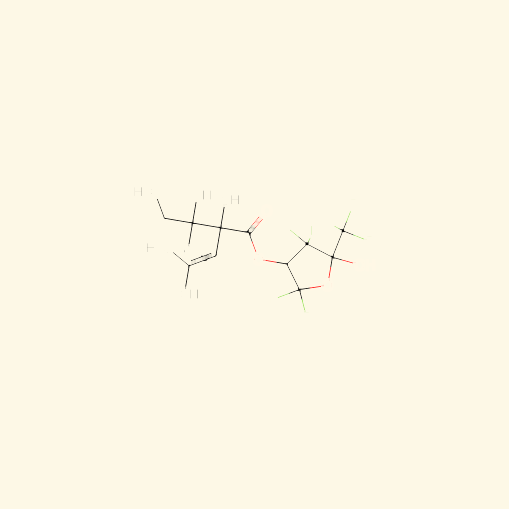 CCC(C)(C)C(C)(C=C(C)C)C(=O)OC1C(F)(F)OC(O)(C(F)(F)F)C1(F)F